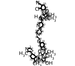 Cc1ncsc1-c1ccc([C@H](C)NC(=O)[C@@H]2C[C@@H](O)CN2C(=O)[C@H](C(C)C)N2Cc3ccc(OCCN4CCN(c5ccc(C(=O)N[C@H]6C(C)(C)[C@H](Oc7ccc(C#N)c(Cl)c7)C6(C)C)cn5)CC4)cc3C2=O)cc1